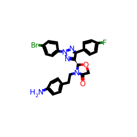 Nc1ccc(CCN2C(=O)CO[C@H]2c2nn(-c3ccc(Br)cc3)nc2-c2ccc(F)cc2)cc1